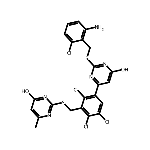 Cc1cc(O)nc(SCc2c(Cl)c(Cl)cc(-c3cc(O)nc(SCc4c(N)cccc4Cl)n3)c2Cl)n1